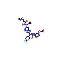 CCCC(=O)N[C@@H](c1cnn2cc([C@@H](NC(=O)c3ccnc(OC4CC4)c3)C3CCC(F)(F)CC3)nc2c1)C1CC1